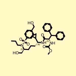 CCCN([C@H](CO)CCC[C@@H](NC(=O)[C@@H](NC(=O)OC)C(c1ccccc1)c1ccccc1)C1CC1)S(=O)(=O)c1ccc(CO)cc1